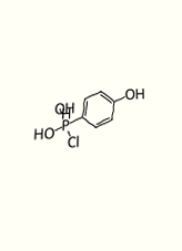 Oc1ccc([PH](O)(O)Cl)cc1